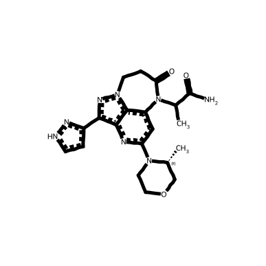 CC(C(N)=O)N1C(=O)CCn2nc(-c3cc[nH]n3)c3nc(N4CCOC[C@H]4C)cc1c32